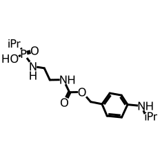 CC(C)Nc1ccc(COC(=O)NCCNP(=O)(O)C(C)C)cc1